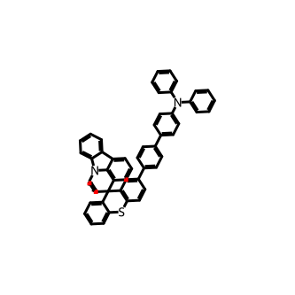 c1ccc(N(c2ccccc2)c2ccc(-c3ccc(-c4ccc5c(c4)C4(c6ccccc6S5)c5ccccc5-n5c6ccccc6c6cccc4c65)cc3)cc2)cc1